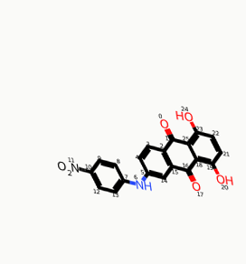 O=C1c2ccc(Nc3ccc([N+](=O)[O-])cc3)cc2C(=O)c2c(O)ccc(O)c21